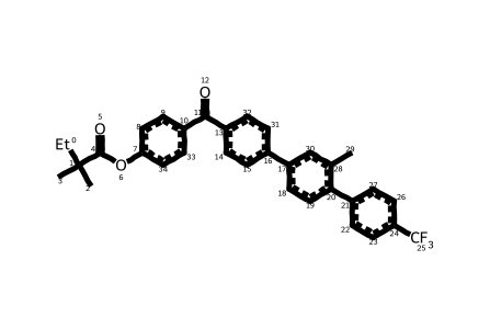 CCC(C)(C)C(=O)Oc1ccc(C(=O)c2ccc(-c3ccc(-c4ccc(C(F)(F)F)cc4)c(C)c3)cc2)cc1